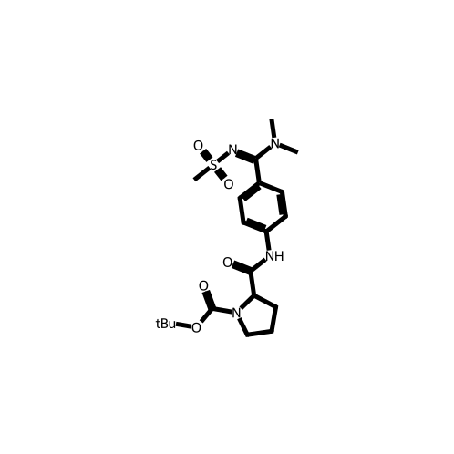 CN(C)/C(=N/S(C)(=O)=O)c1ccc(NC(=O)C2CCCN2C(=O)OC(C)(C)C)cc1